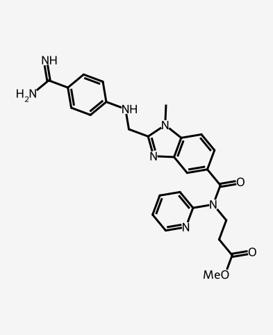 COC(=O)CCN(C(=O)c1ccc2c(c1)nc(CNc1ccc(C(=N)N)cc1)n2C)c1ccccn1